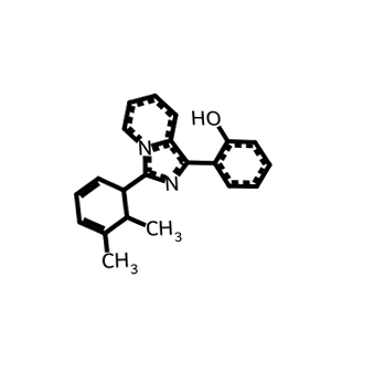 CC1=CC=CC(c2nc(-c3ccccc3O)c3ccccn23)C1C